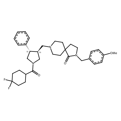 COc1ccc(CN2CCC3(CCN(C[C@H]4CN(C(=O)C5CCC(F)(F)CC5)C[C@@H]4c4ccccc4)CC3)C2=O)cc1